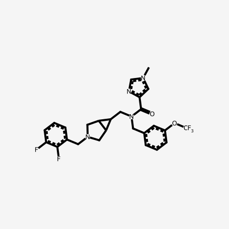 Cn1cnc(C(=O)N(Cc2cccc(OC(F)(F)F)c2)CC2C3CN(Cc4cccc(F)c4F)CC32)c1